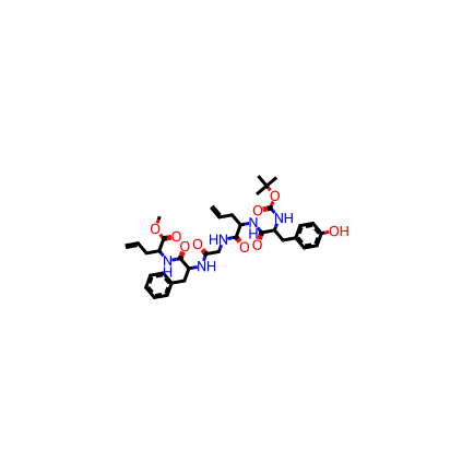 C=CCC(NC(=O)C(Cc1ccc(O)cc1)NC(=O)OC(C)(C)C)C(=O)NCC(=O)NC(Cc1ccccc1)C(=O)NC(CC=C)C(=O)OC